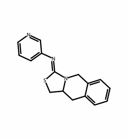 c1cncc(N=C2SCC3Cc4ccccc4CN23)c1